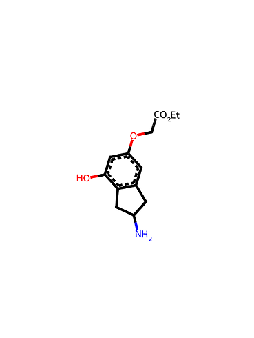 CCOC(=O)COc1cc(O)c2c(c1)CC(N)C2